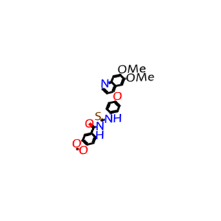 COc1cc2nccc(Oc3ccc(NC(=S)NC(=O)c4ccc5c(c4)OCO5)cc3)c2cc1OC